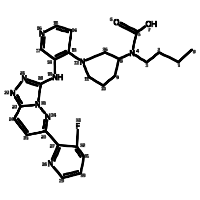 CCCCN(C(=O)O)C1CCCN(c2ccncc2Nc2nnc3ccc(-c4ncccc4F)nn23)C1